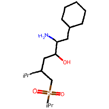 CC(C)C(CC(O)C(N)CC1CCCCC1)CS(=O)(=O)C(C)C